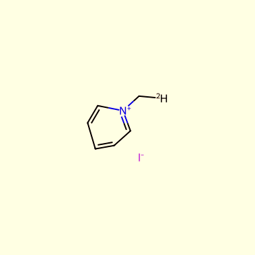 [2H]C[n+]1ccccc1.[I-]